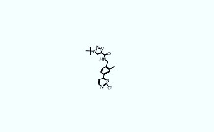 Cc1cc(-c2ccnc(Cl)n2)ccc1CNC(=O)c1cn(C(C)(C)C)nn1